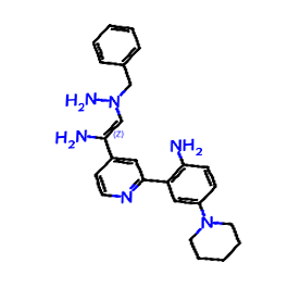 N/C(=C\N(N)Cc1ccccc1)c1ccnc(-c2cc(N3CCCCC3)ccc2N)c1